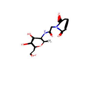 CC1OC(CO)C(O)C(O)C1NC(=O)CN1C(=O)C=CC1=O